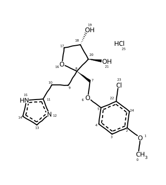 COc1ccc(OC[C@@]2(CCc3ncc[nH]3)OC[C@H](O)[C@H]2O)c(Cl)c1.Cl